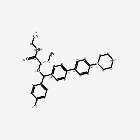 CC(C)C[C@H](OC(c1ccc(Cl)cc1)c1ccc(-c2ccc(N3CCNCC3)cc2)cc1)C(=O)NCC#N